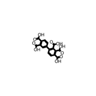 O=C(O)c1ccc(-c2ccc(C(=O)O)c(C(=O)O)c2C(=O)O)cc1C(=O)O